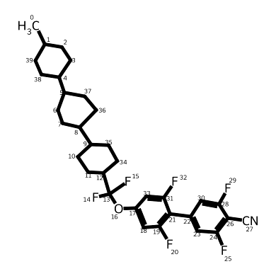 CC1CCC(C2CCC(C3CCC(C(F)(F)Oc4cc(F)c(-c5cc(F)c(C#N)c(F)c5)c(F)c4)CC3)CC2)CC1